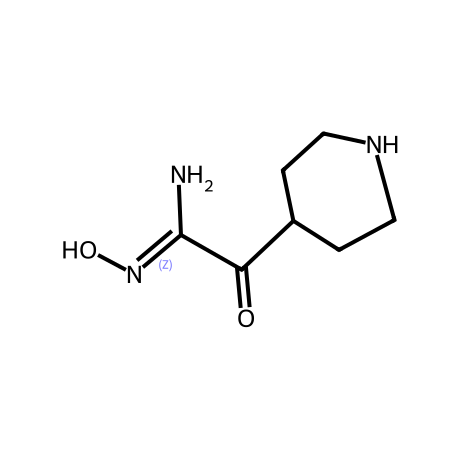 N/C(=N\O)C(=O)C1CCNCC1